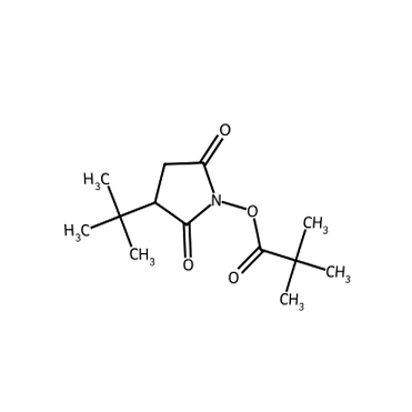 CC(C)(C)C(=O)ON1C(=O)CC(C(C)(C)C)C1=O